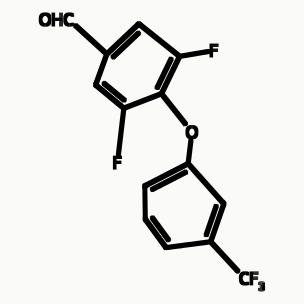 O=Cc1cc(F)c(Oc2cccc(C(F)(F)F)c2)c(F)c1